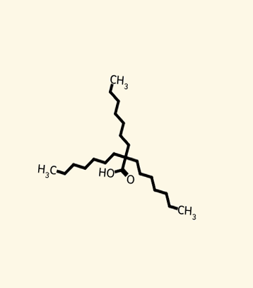 CCCCCCCC(CCCCCCC)(CCCCCCC)C(=O)O